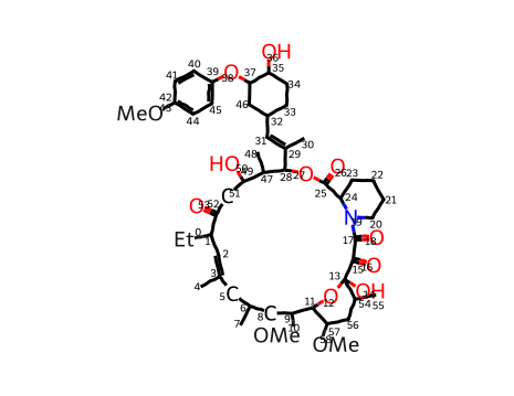 CCC1/C=C(\C)CC(C)CC(OC)C2OC(O)(C(=O)C(=O)N3CCCCC3C(=O)OC(C(C)=CC3CCC(O)C(Oc4ccc(OC)cc4)C3)C(C)C(O)CC1=O)C(C)CC2OC